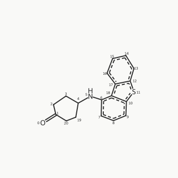 O=C1CCC(Nc2cccc3sc4ccccc4c23)CC1